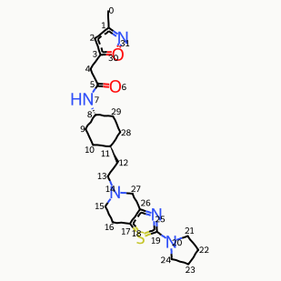 Cc1cc(CC(=O)N[C@H]2CC[C@H](CCN3CCc4sc(N5CCCC5)nc4C3)CC2)on1